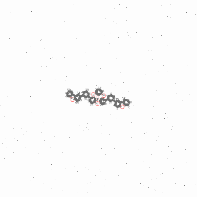 c1cc(-c2ccc3oc4ccccc4c3c2)cc(-c2ccc3c4c2Oc2cccc5c2B4c2c(ccc(-c4cccc(-c6ccc7oc8ccccc8c7c6)c4)c2O5)O3)c1